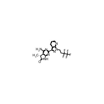 C[C@H]1C(=O)Nc2nc(-c3nn(CCC(F)(F)C(F)(F)F)c4ncccc34)nc(N)c21